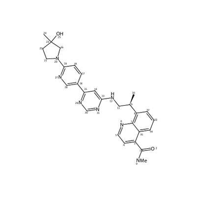 CNC(=O)c1ccnc2c([C@H](C)CNc3cc(-c4ccc(N5CCC(C)(O)C5)nc4)ncn3)cccc12